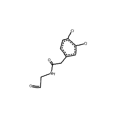 O=CCNC(=O)Cc1ccc(Cl)c(Cl)c1